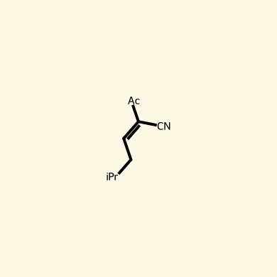 CC(=O)/C(C#N)=C/CC(C)C